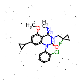 C/N=C(/NCC1(F)CC1)c1c(OC)cc(C2CC2)cc1N(C=O)c1ccccc1Cl